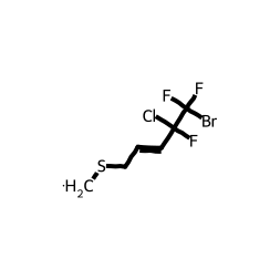 [CH2]SCC=CC(F)(Cl)C(F)(F)Br